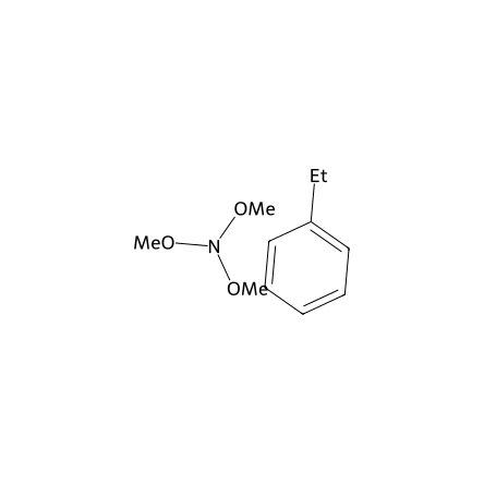 CCc1ccccc1.CON(OC)OC